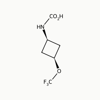 O=C(O)N[C@H]1C[C@@H](OC(F)(F)F)C1